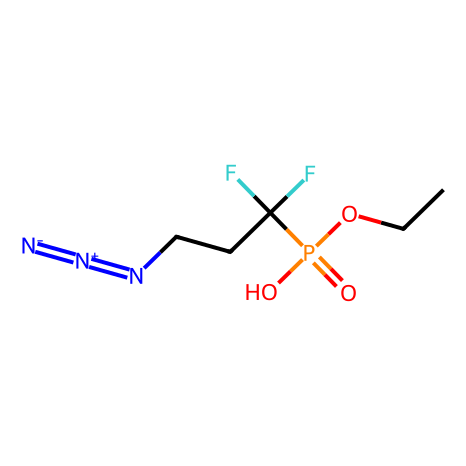 CCOP(=O)(O)C(F)(F)CCN=[N+]=[N-]